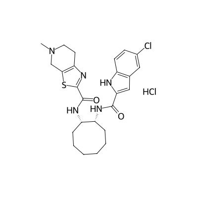 CN1CCc2nc(C(=O)N[C@H]3CCCCCC[C@H]3NC(=O)c3cc4cc(Cl)ccc4[nH]3)sc2C1.Cl